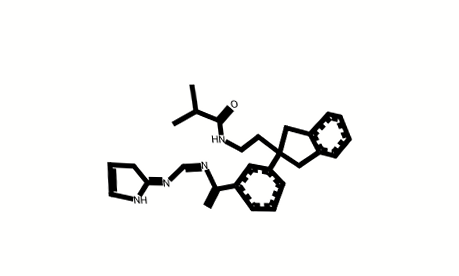 C=C(/N=C\N=C1/CC=CN1)c1cccc(C2(CCNC(=O)C(C)C)Cc3ccccc3C2)c1